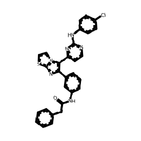 O=C(Cc1ccccc1)Nc1cccc(-c2nc3sccn3c2-c2ccnc(Nc3ccc(Cl)cc3)n2)c1